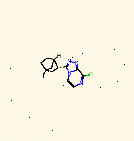 Clc1nccn2c([C@@H]3C[C@@H]4CC[C@H]3C4)nnc12